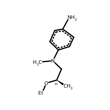 CCO[C@H](C)CN(C)c1ccc(N)cc1